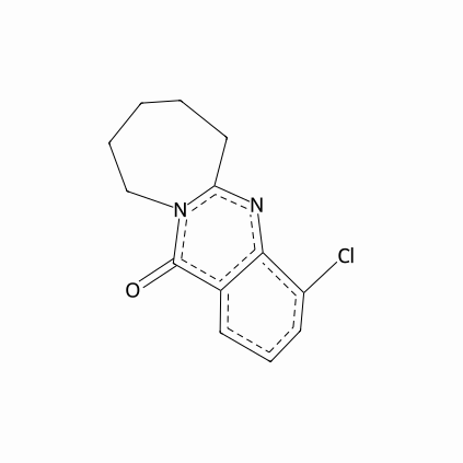 O=c1c2cccc(Cl)c2nc2n1CCCCC2